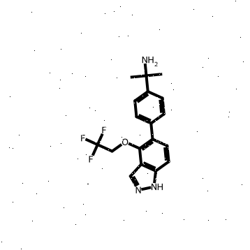 CC(C)(N)c1ccc(-c2ccc3[nH]ncc3c2OCC(F)(F)F)cc1